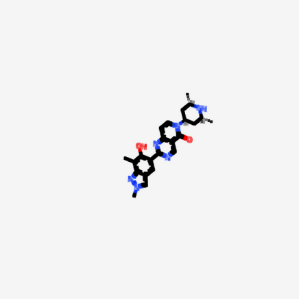 Cc1c(O)c(-c2ncc3c(=O)n([C@@H]4C[C@@H](C)N[C@@H](C)C4)ccc3n2)cc2cn(C)nc12